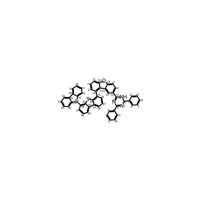 c1ccc(C2=NC(c3ccccc3)NC(c3ccc4oc5cccc(-c6cccc7c6sc6c(-n8c9ccccc9c9ccccc98)cccc67)c5c4c3)=N2)cc1